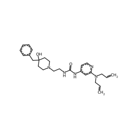 C=CCN(CC=C)c1cc(NC(=O)NCCN2CCC(O)(Cc3ccccc3)CC2)ccn1